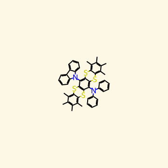 Cc1c(C)c(C)c2sc3c(-n4c5ccccc5c5ccccc54)c4sc5c(C)c(C)c(C)c(C)c5sc4c(N(c4ccccc4)c4ccccc4)c3sc2c1C